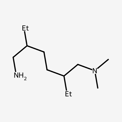 CCC(CN)CCC(CC)CN(C)C